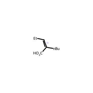 CC/C=C(/CCCC)C(=O)O